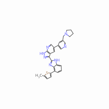 Cc1ccc(-c2cccc3[nH]c(-c4n[nH]c5ncc(-c6cncc(CN7CCCC7)c6)cc45)nc23)s1